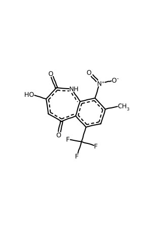 Cc1cc(C(F)(F)F)c2c(=O)cc(O)c(=O)[nH]c2c1[N+](=O)[O-]